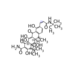 C[C@@H]1c2ccc(/C=C\C(=O)NC(C)(C)C)c(O)c2C(=O)C2=C(O)[C@@]3(O)C(=O)C(C(N)=O)=C(O)[C@H](N(C)C)[C@H]3[C@H](O)[C@H]21